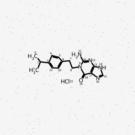 CC(C)c1ccc(CCn2c(N)nc3[nH]cnc3c2=O)cc1.Cl